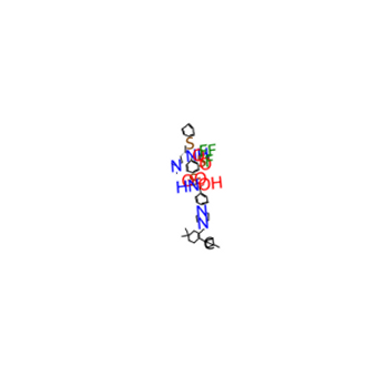 CN(C)CC[C@H](CSc1ccccc1)Nc1ccc(S(=O)(=O)NC(O)c2ccc(N3CCN(CC4=C(C56CC(C)(C5)C6)CCC(C)(C)C4)CC3)cc2)cc1S(=O)(=O)C(F)(F)F